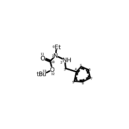 CCN(NCc1ccccc1)C(=O)OC(C)(C)C